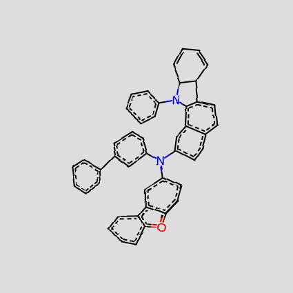 C1=CC2c3ccc4ccc(N(c5cccc(-c6ccccc6)c5)c5ccc6oc7ccccc7c6c5)cc4c3N(c3ccccc3)C2C=C1